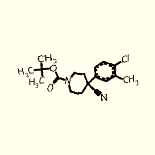 Cc1cc(C2(C#N)CCN(C(=O)OC(C)(C)C)CC2)ccc1Cl